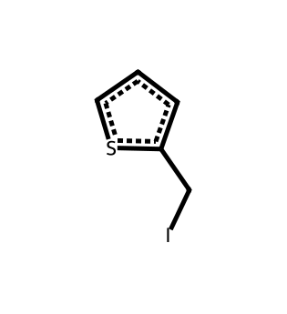 ICc1cccs1